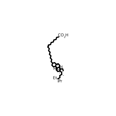 CC[C@H](CC[C@@H](C)[C@H]1CC[C@H]2[C@@H]3CC=C4CC(CCCCCCCC/C=C\CCCCCCCC(=O)O)CC[C@]4(C)[C@H]3CC[C@]12C)C(C)C